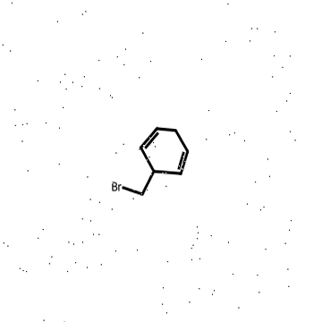 BrCC1C=CCC=C1